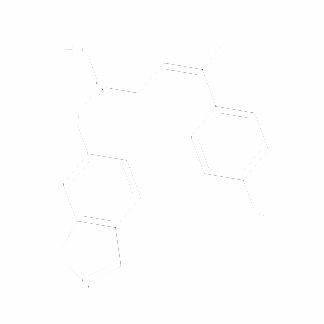 CC(=CCN(C)Oc1ccc2cnsc2c1)c1ccc(Br)cc1